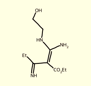 CCOC(=O)/C(C(=N)CC)=C(\N)NCCO